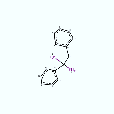 PC(P)(Cc1ccccc1)c1ccccc1